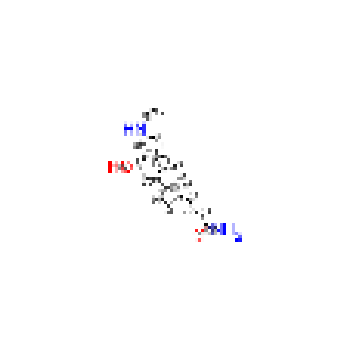 CCCNC1CCC2(C)C(C1)C(O)CC1C3CCC(CCCC(N)=O)C3(C)CCC12